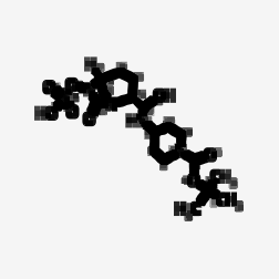 CC(C)(C)OC(=O)N1CCC(NC(O)[C@@H]2CC[C@@H]3CN2C(=O)N3OS(=O)(=O)O)CC1